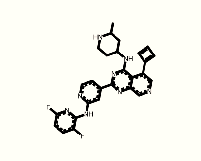 CC1CC(Nc2nc(-c3ccnc(Nc4nc(F)ccc4F)c3)nc3cncc(C4=CC=C4)c23)CCN1